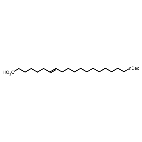 CCCCCCCCCCCCCCCCCCCCCC=CCCCCCC(=O)O